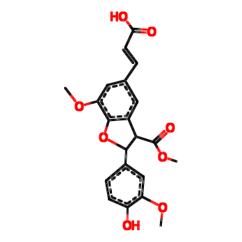 COC(=O)C1c2cc(/C=C/C(=O)O)cc(OC)c2OC1c1ccc(O)c(OC)c1